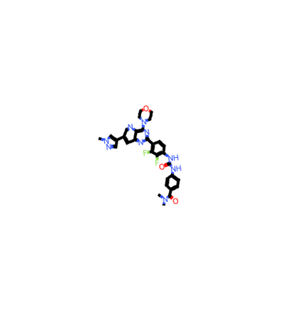 CN(C)C(=O)c1ccc(NC(=O)Nc2ccc(-c3nc(N4CCOCC4)c4ncc(-c5cnn(C)c5)cc4n3)c(F)c2F)cc1